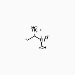 CC[PH](=O)O.Cl.Cl